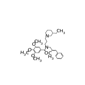 CCC1CCCN(CCCN(C/C(C)=C/c2ccccc2)C(=O)c2cc(OC)c(OC)c(OC)c2)C1